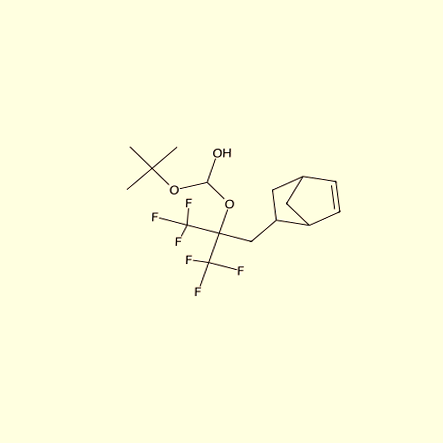 CC(C)(C)OC(O)OC(CC1CC2C=CC1C2)(C(F)(F)F)C(F)(F)F